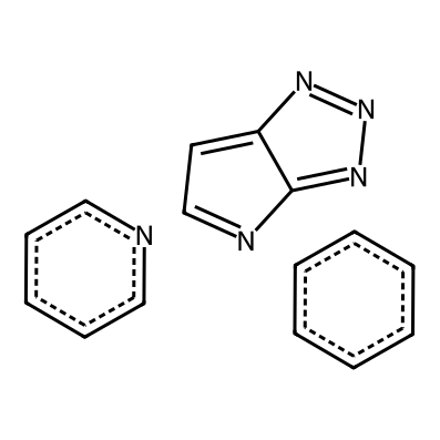 C1=NC2=NN=NC2=C1.c1ccccc1.c1ccncc1